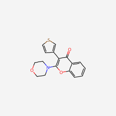 O=c1c(-c2ccsc2)c(N2CCOCC2)oc2ccccc12